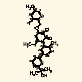 CCc1cc(OCc2ncc(C)cc2F)c(Cl)c(=O)n1-c1cc(-c2ccnc(C(C)(C)O)n2)ncc1C